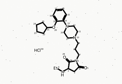 CCNC1CC(=O)N(CCCN2CCN(c3ccccc3OC3CCCC3)CC2)C1=O.Cl